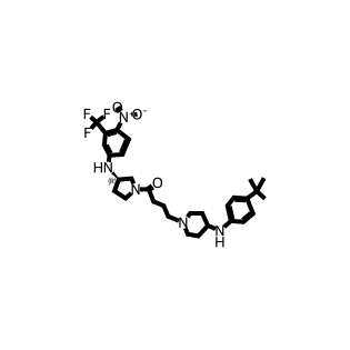 CC(C)(C)c1ccc(NC2CCN(CCCC(=O)N3CC[C@@H](Nc4ccc([N+](=O)[O-])c(C(F)(F)F)c4)C3)CC2)cc1